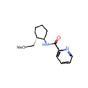 COC[C@@H]1CCCC[C@H]1NC(=O)c1ccccn1